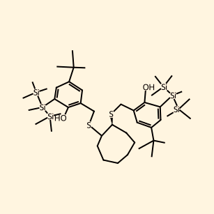 CC(C)(C)c1cc(CSC2CCCCCC[C@@H]2SCc2cc(C(C)(C)C)cc([Si](C)([Si](C)(C)C)[Si](C)(C)C)c2O)c(O)c([Si](C)([Si](C)(C)C)[Si](C)(C)C)c1